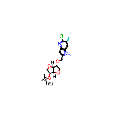 CC(C)(C)[Si](C)(C)OC1CO[C@H]2[C@@H]1OC[C@H]2OCc1cc2nc(Cl)c(F)cc2[nH]1